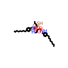 CCCCCCCCc1ccc(CNS(=O)(=O)C(OC(C(S)CC)S(=O)(=O)NCc2ccc(CCCCCCCC)cc2)C(S)CC)cc1